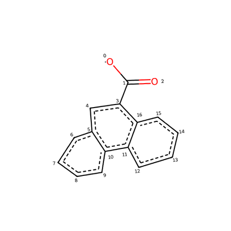 [O]C(=O)c1cc2ccccc2c2ccccc12